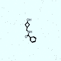 O=C(NCC1CC(O)C1)c1ccccc1